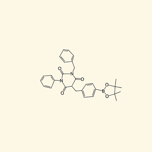 CC1(C)OB(c2ccc(CC3C(=O)N(Cc4ccccc4)C(=O)N(c4ccccc4)C3=O)cc2)OC1(C)C